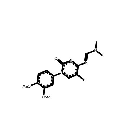 COc1ccc(-n2cc(F)c(/N=C/N(C)C)nc2=O)cc1OC